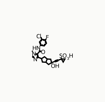 Cn1cnc(C2CC3CC(O)(C#CC4(S(=O)(=O)O)CC4)CC3C2)c1C(=O)Nc1ccc(F)c(Cl)c1